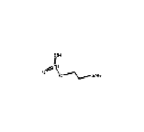 CSCCO[PH](=O)O